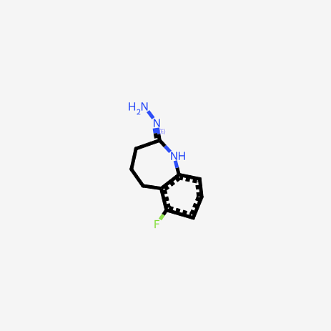 N/N=C1\CCCc2c(F)cccc2N1